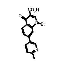 CCn1cc(C(=O)O)c(=O)c2ccc(-c3ccc(C)nc3)cc21